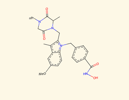 CCCN1CC(=O)N(Cc2c(C)c3cc(OC)ccc3n2Cc2ccc(C(=O)NO)cc2)C(C)C1=O